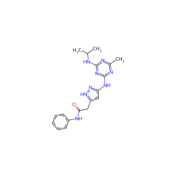 Cc1nc(Nc2cc(CC(=O)Nc3ccccc3)[nH]n2)nc(NC(C)C)n1